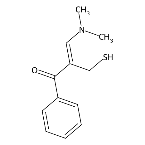 CN(C)C=C(CS)C(=O)c1ccccc1